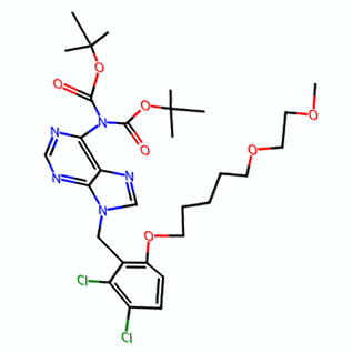 COCCOCCCCCOc1ccc(Cl)c(Cl)c1Cn1cnc2c(N(C(=O)OC(C)(C)C)C(=O)OC(C)(C)C)ncnc21